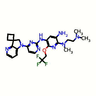 CN(C)CCN(C)c1nc(OCC(F)(F)F)c(Nc2nccc(N3CC4(CCC4)c4ncccc43)n2)cc1N